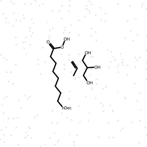 C=CC.CCCCCCCCCCCCCCCCCC(=O)OO.OCC(O)CO